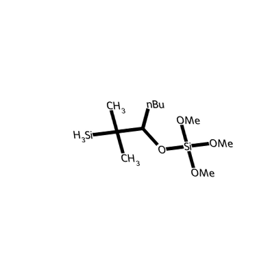 CCCCC(O[Si](OC)(OC)OC)C(C)(C)[SiH3]